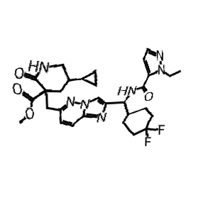 CCn1nccc1C(=O)N[C@H](c1cn2nc(CC3(C(=O)OC)CC(C4CC4)CNC3=O)ccc2n1)C1CCC(F)(F)CC1